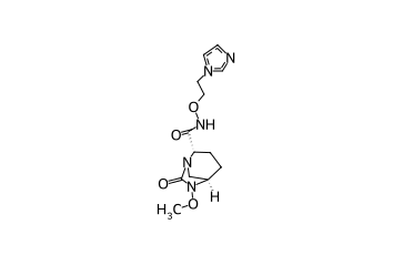 CON1C(=O)N2C[C@H]1CC[C@H]2C(=O)NOCCn1ccnc1